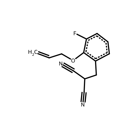 C=CCOc1c(F)cccc1CC(C#N)C#N